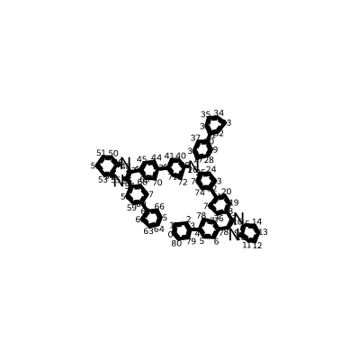 c1ccc(-c2ccc(-c3nc4ccccc4nc3-c3ccc(-c4ccc(N(c5ccc(-c6ccccc6)cc5)c5ccc(-c6ccc(-c7nc8ccccc8nc7-c7ccc(-c8ccccc8)cc7)cc6)cc5)cc4)cc3)cc2)cc1